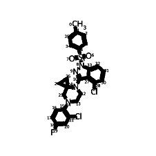 Cc1ccc(S(=O)(=O)n2nc(N3CCN(c4ccc(F)cc4Cl)CC34CC4)c3c(Cl)cccc32)cc1